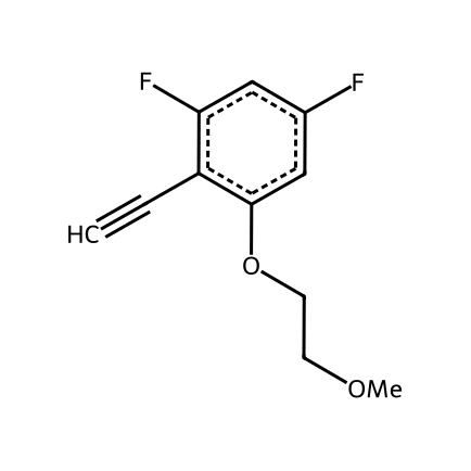 C#Cc1c(F)cc(F)cc1OCCOC